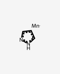 [Mn].c1cn[nH]c1